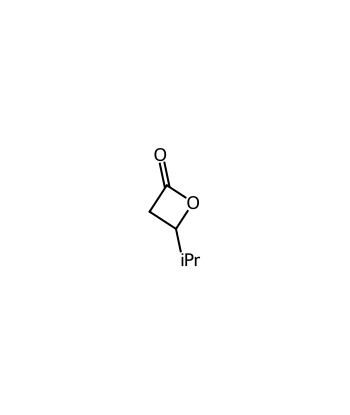 CC(C)C1CC(=O)O1